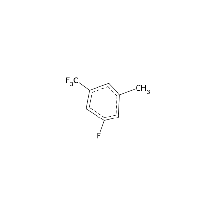 Cc1cc(F)cc(C(F)(F)F)c1